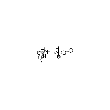 Cc1ccc2c(c1)[C@H]1CN(CCCCNC(=O)C3CCC(c4ccccc4)CC3)C[C@@H]1CO2